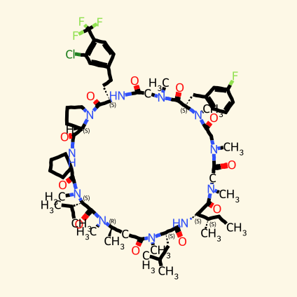 CC[C@H](C)[C@@H]1NC(=O)[C@H](CC(C)C)N(C)C(=O)C[C@@H](C)N(C)C(=O)[C@H](C(C)C)N(C)C(=O)C2(CCCC2)NC(=O)[C@@H]2CCCN2C(=O)[C@H](CCc2ccc(C(F)(F)F)c(Cl)c2)NC(=O)CN(C)C(=O)[C@H](Cc2cccc(F)c2)N(C)C(=O)CN(C)C(=O)CN(C)C1=O